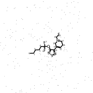 CCCCCC(F)(F)Oc1nsnc1C1=CCCN(CF)C1